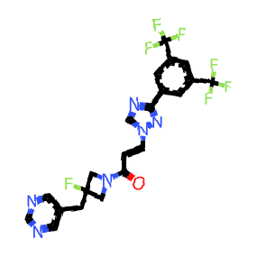 O=C(C=Cn1cnc(-c2cc(C(F)(F)F)cc(C(F)(F)F)c2)n1)N1CC(F)(Cc2cncnc2)C1